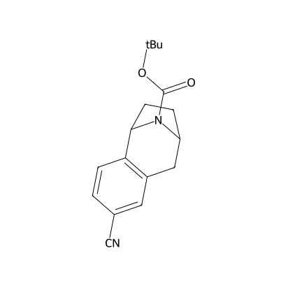 CC(C)(C)OC(=O)N1C2CCC1c1ccc(C#N)cc1C2